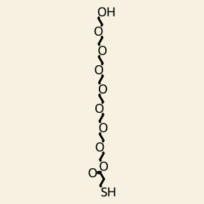 O=C(CCS)OCCOCCOCCOCCOCCOCCOCCOCCO